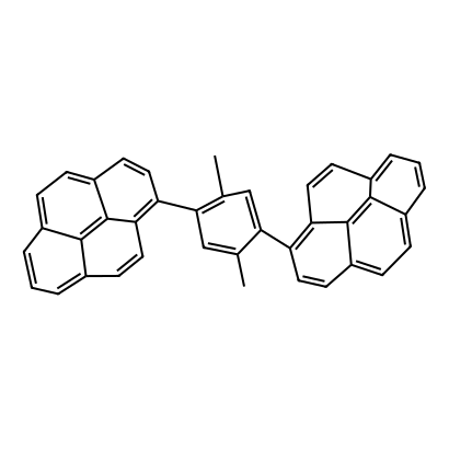 Cc1cc(-c2ccc3ccc4cccc5ccc2c3c45)c(C)cc1-c1ccc2ccc3cccc4ccc1c2c34